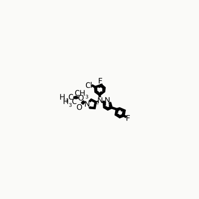 CC(C)(C)OC(=O)N1CC[C@H](N(c2ccc(F)c(Cl)c2)c2ccc(-c3ccc(F)cc3)cn2)C1